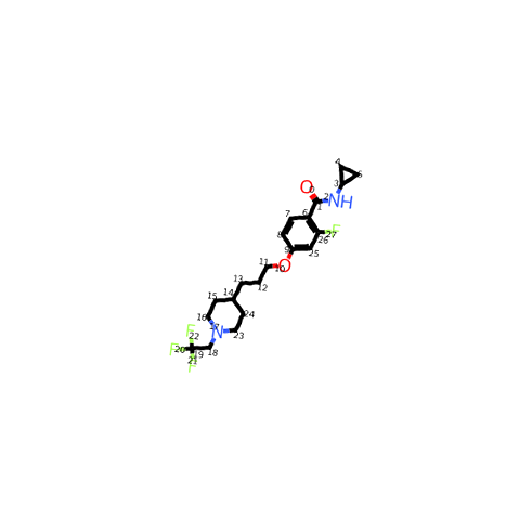 O=C(NC1CC1)c1ccc(OCCCC2CCN(CC(F)(F)F)CC2)cc1F